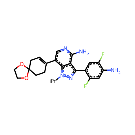 CC(C)n1nc(-c2cc(F)c(N)cc2F)c2c(N)ncc(C3=CCC4(CC3)OCCO4)c21